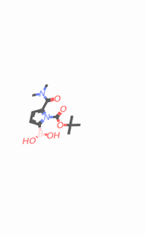 CN(C)C(=O)c1ccc(B(O)O)n1C(=O)OC(C)(C)C